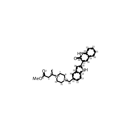 COC(=O)CC(C)N1CCN(Cc2ccc3[nH]c(-c4cc5ccccc5[nH]c4=O)cc3c2)CC1